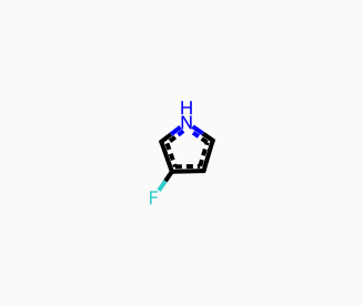 Fc1cc[nH]c1